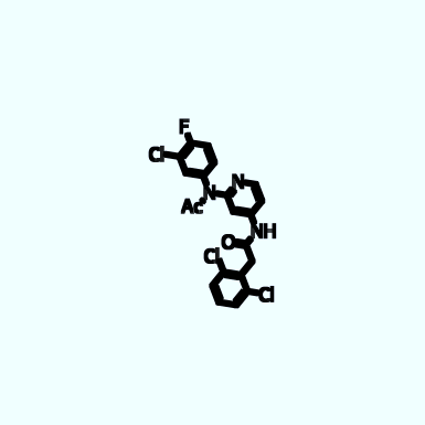 CC(=O)N(c1ccc(F)c(Cl)c1)c1cc(NC(=O)Cc2c(Cl)cccc2Cl)ccn1